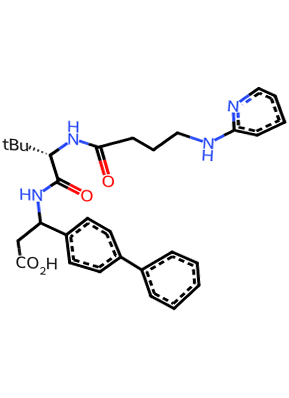 CC(C)(C)[C@H](NC(=O)CCCNc1ccccn1)C(=O)NC(CC(=O)O)c1ccc(-c2ccccc2)cc1